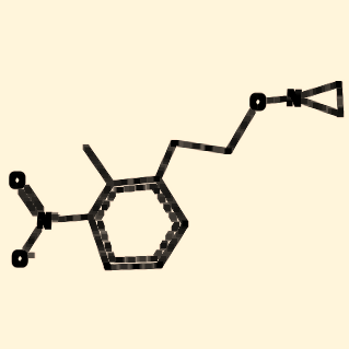 Cc1c(CCON2CC2)cccc1[N+](=O)[O-]